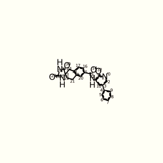 Cn1cc(-c2ccccc2)cc(NC(=O)c2ccc3c(c2)CCC2(C3)NC(=O)NC2=O)c1=O